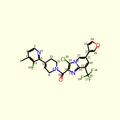 Cc1ccnc(C2=CCN(C(=O)c3nc4c(C(F)(F)F)cc(-c5ccoc5)cn4c3Cl)CC2)c1F